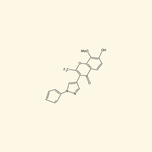 COc1c(O)ccc2c(=O)c(-c3cnn(-c4ccccc4)c3)c(C(F)(F)F)oc12